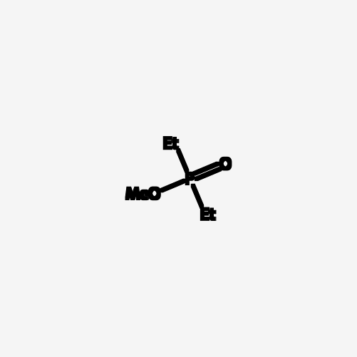 CCP(=O)(CC)OC